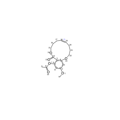 COc1cc2c(c(OC(C)=O)c1)C(=O)OCCC/C=C\CCCO2